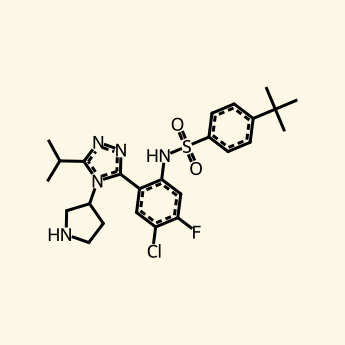 CC(C)c1nnc(-c2cc(Cl)c(F)cc2NS(=O)(=O)c2ccc(C(C)(C)C)cc2)n1C1CCNC1